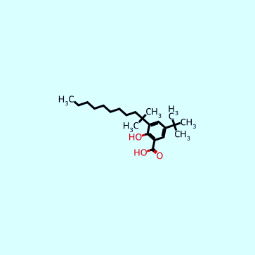 CCCCCCCCCC(C)(C)c1cc(C(C)(C)C)cc(C(=O)O)c1O